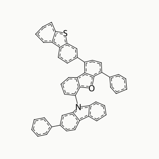 c1ccc(-c2ccc3c4ccccc4n(-c4cccc5c4oc4c(-c6ccccc6)ccc(-c6ccc7c(c6)sc6ccccc67)c45)c3c2)cc1